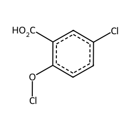 O=C(O)c1cc(Cl)ccc1OCl